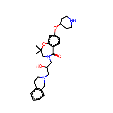 CC1(C)CN(CC(O)CN2CCc3ccccc3C2)C(=O)c2ccc(OC3CCNCC3)cc2O1